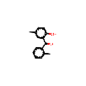 Cc1ccc(O)c(C(=O)c2ccccc2C)c1